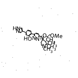 COCCON(c1ccc(-c2ccc(-c3cn[nH]c3)cc2O)nn1)C1CCN(C)C(C)(C)C1C